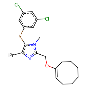 CC(C)c1nc(CO/C2=C/CCCCCC2)n(C)c1Sc1cc(Cl)cc(Cl)c1